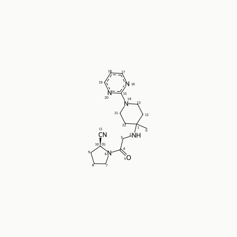 CC1(NCC(=O)N2CCC[C@H]2C#N)CCN(c2ncccn2)CC1